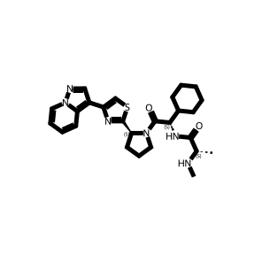 CN[C@@H](C)C(=O)N[C@H](C(=O)N1CCC[C@H]1c1nc(-c2cnn3ccccc23)cs1)C1CCCCC1